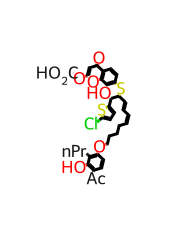 CCCc1c(OCCCC/C=C\C=C\C(Sc2ccc3c(=O)cc(OC(=O)O)oc3c2)C(O)c2ccc(Cl)s2)ccc(C(C)=O)c1O